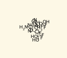 O=C(O)C(F)(F)F.[2H]C([2H])([2H])n1nccc1-c1cn2c(-c3cc(C(O)(CO)C(F)(F)F)ccc3C)cnc2c(N)n1